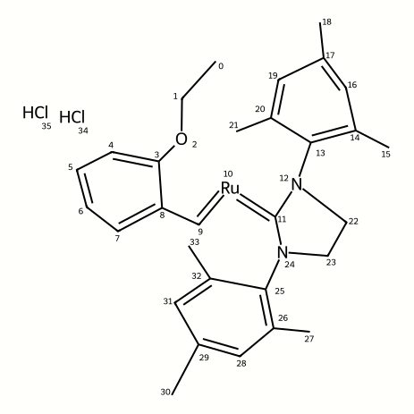 CCOc1ccccc1[CH]=[Ru]=[C]1N(c2c(C)cc(C)cc2C)CCN1c1c(C)cc(C)cc1C.Cl.Cl